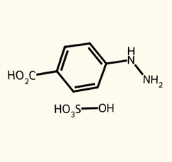 NNc1ccc(C(=O)O)cc1.O=S(=O)(O)O